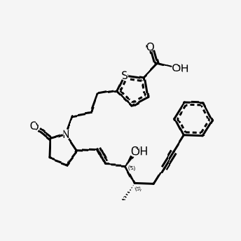 C[C@@H](CC#Cc1ccccc1)[C@H](O)C=CC1CCC(=O)N1CCCc1ccc(C(=O)O)s1